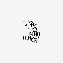 CC(c1ccc(NC(=N)c2c(N)cc[nH]c2=O)cc1)N(N)/C=C\N